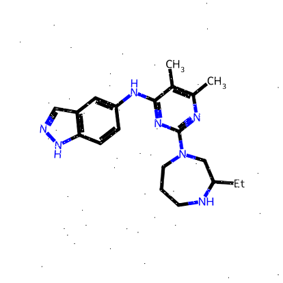 CCC1CN(c2nc(C)c(C)c(Nc3ccc4[nH]ncc4c3)n2)CCCN1